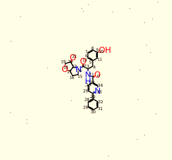 O=C(NC(Cc1cccc(O)c1)C(=O)N1CCC2OCC(=O)C21)c1ccc(-c2ccccc2)nc1